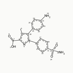 Cc1c(C(=O)O)nn(-c2ccc(S(N)(=O)=O)cc2)c1-c1ccc(N)cc1